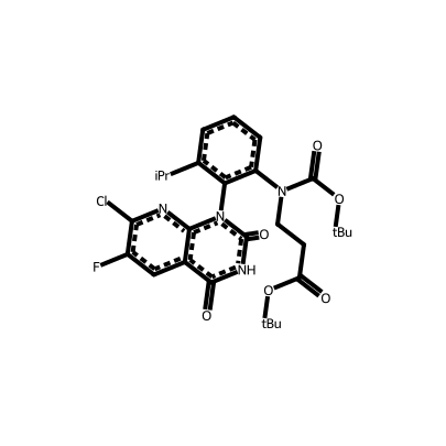 CC(C)c1cccc(N(CCC(=O)OC(C)(C)C)C(=O)OC(C)(C)C)c1-n1c(=O)[nH]c(=O)c2cc(F)c(Cl)nc21